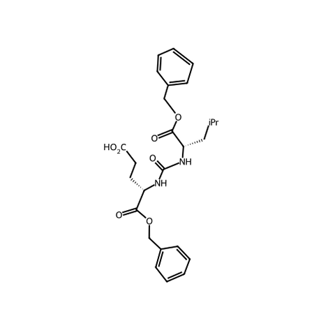 CC(C)C[C@H](NC(=O)N[C@@H](CCC(=O)O)C(=O)OCc1ccccc1)C(=O)OCc1ccccc1